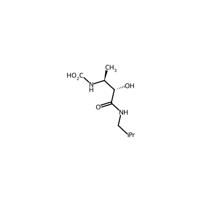 CC(C)CNC(=O)[C@@H](O)[C@H](C)NC(=O)O